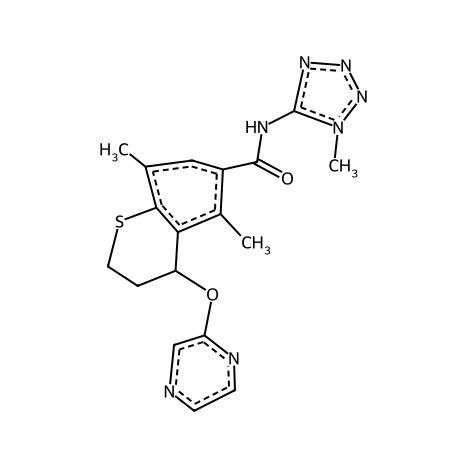 Cc1cc(C(=O)Nc2nnnn2C)c(C)c2c1SCCC2Oc1cnccn1